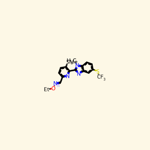 CCO/N=C/c1ccc(SC)c(-c2nc3cc(SC(F)(F)F)ccc3n2C)n1